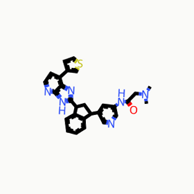 CN(C)CC(=O)Nc1cncc(C2CC(c3nc4c(-c5ccsc5)ccnc4[nH]3)c3ccccc32)c1